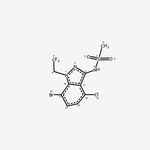 CS(=O)(=O)Nc1nn(CC(F)(F)F)c2c(Br)ccc(Cl)c12